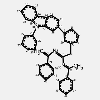 C=C(/N=C(Cc1cccc(-c2ccc3c4ccccc4n(-c4ccccc4)c3c2)c1)\N=C(/C)c1ccccc1)c1ccccc1